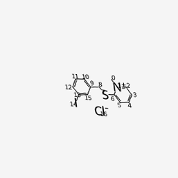 C[n+]1ccccc1SCc1cccc(I)c1.[Cl-]